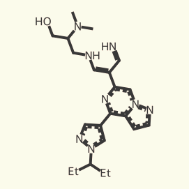 CCC(CC)n1cc(-c2nc(/C(C=N)=C/NCC(CO)N(C)C)cn3nccc23)cn1